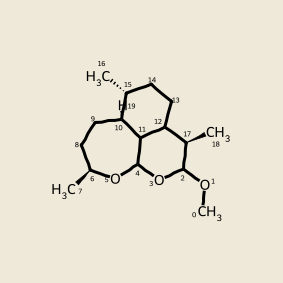 COC1OC2O[C@@H](C)CC[C@@H]3C2C(CC[C@H]3C)[C@H]1C